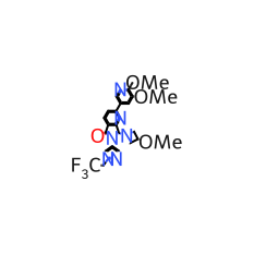 COc1cc(-c2ccc3c(n2)C(N2CC(OC)C2)N(c2cnn(CC(F)(F)F)c2)C3=O)cnc1OC